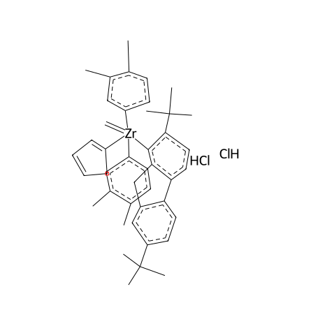 Cl.Cl.[CH2]=[Zr]([C]1=CC=CC1)([c]1ccc(C)c(C)c1)([c]1ccc(C)c(C)c1)[c]1c(C(C)(C)C)ccc2c1Cc1cc(C(C)(C)C)ccc1-2